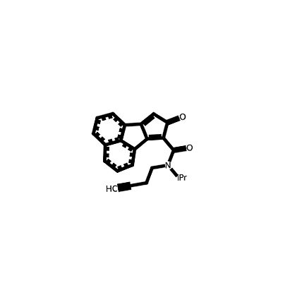 C#CCCN(C(=O)C1=C2C(=CC1=O)c1cccc3cccc2c13)C(C)C